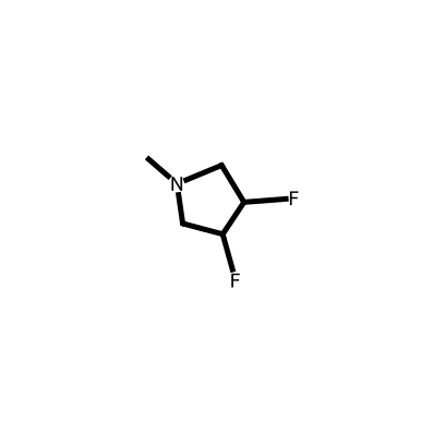 CN1CC(F)C(F)C1